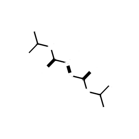 CC(C)OC(=O)N=NC(=O)OC(C)C.Cl.Cl